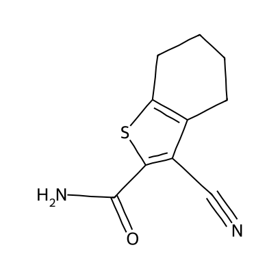 N#Cc1c(C(N)=O)sc2c1CCCC2